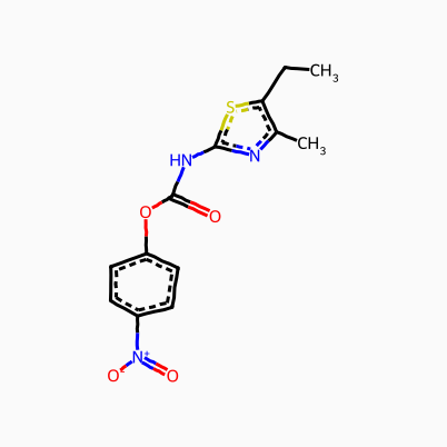 CCc1sc(NC(=O)Oc2ccc([N+](=O)[O-])cc2)nc1C